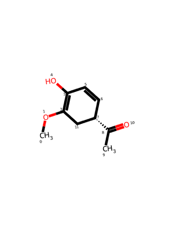 COC1=C(O)C=C[C@H](C(C)=O)C1